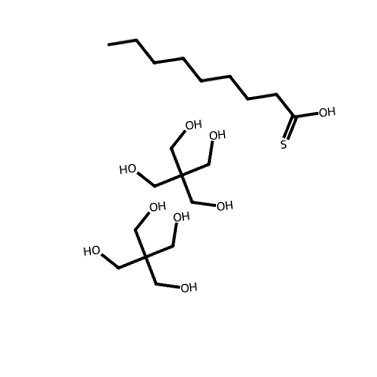 CCCCCCCCC(O)=S.OCC(CO)(CO)CO.OCC(CO)(CO)CO